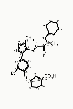 CCc1nc(-c2nnn(C)c2COC(=O)N(C)CC2CCCCC2)ccc1O[C@H]1CCC[C@H](C(=O)O)C1